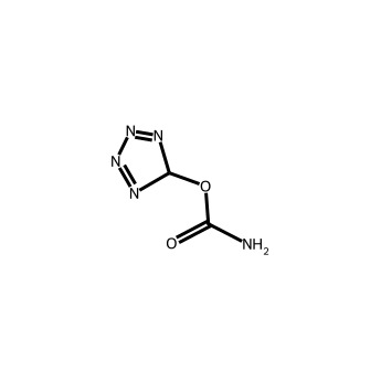 NC(=O)OC1N=NN=N1